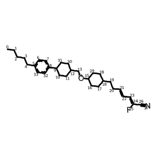 CCCCCc1ccc(C2CCC(COC3CCC(CCC=CC=C(F)C#N)CC3)CC2)cc1